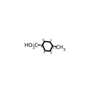 C[C@H]1CC[C@@H](C(=O)O)CC1